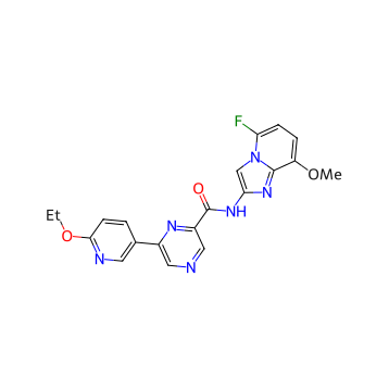 CCOc1ccc(-c2cncc(C(=O)Nc3cn4c(F)ccc(OC)c4n3)n2)cn1